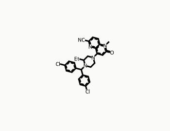 CCC1CN(c2cc(=O)n(C)c3ccc(C#N)nc23)CCN1C(c1ccc(Cl)cc1)c1ccc(Cl)cc1